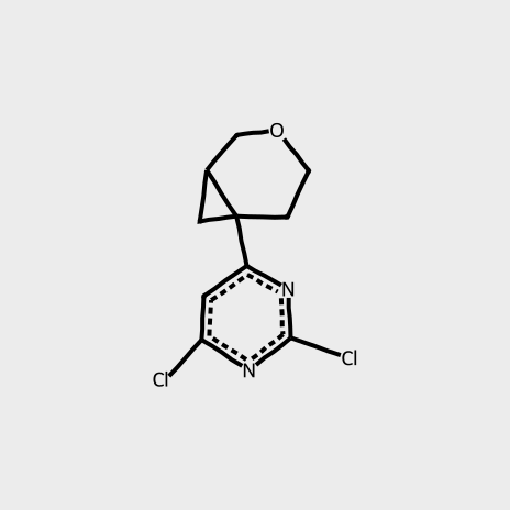 Clc1cc(C23CCOCC2C3)nc(Cl)n1